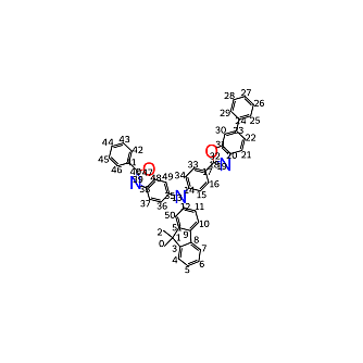 CC1(C)c2ccccc2-c2ccc(N(c3ccc(-c4nc5ccc(-c6ccccc6)cc5o4)cc3)c3ccc4nc(-c5ccccc5)oc4c3)cc21